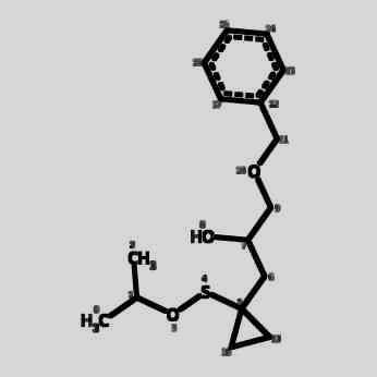 CC(C)OSC1(CC(O)COCc2ccccc2)CC1